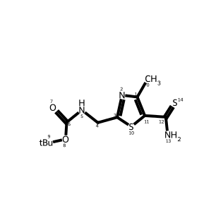 Cc1nc(CNC(=O)OC(C)(C)C)sc1C(N)=S